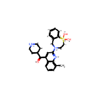 Cc1cccc2c(C(=O)C3CCNCC3)cc(N3CCS(O)(O)c4ccccc4C3)nc12